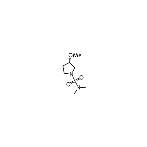 CO[C@@H]1[CH]CN(S(=O)(=O)N(C)C)C1